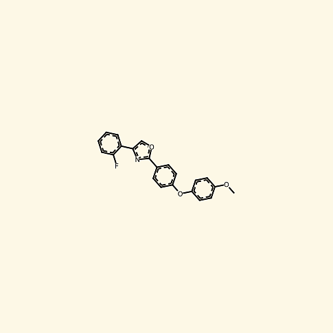 COc1ccc(Oc2ccc(-c3nc(-c4ccccc4F)co3)cc2)cc1